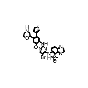 COc1cc(C2CNCCO2)c(-c2ccsc2)cc1Nc1ncc(Br)c(Nc2ccc3nccnc3c2P(C)(C)=O)n1